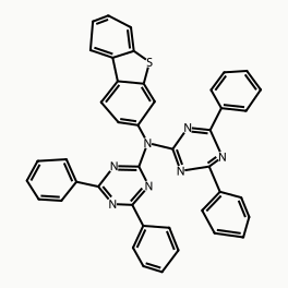 c1ccc(-c2nc(-c3ccccc3)nc(N(c3ccc4c(c3)sc3ccccc34)c3nc(-c4ccccc4)nc(-c4ccccc4)n3)n2)cc1